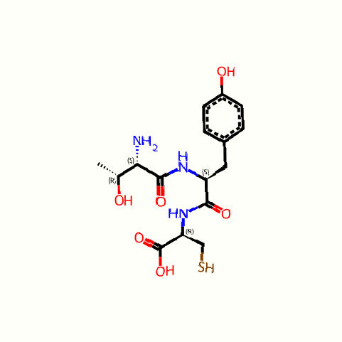 C[C@@H](O)[C@H](N)C(=O)N[C@@H](Cc1ccc(O)cc1)C(=O)N[C@@H](CS)C(=O)O